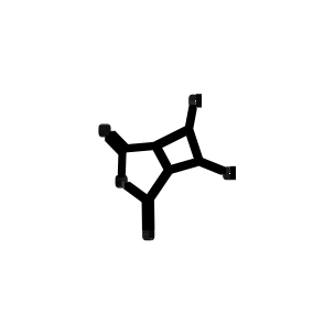 O=C1OC(=O)C2C(Cl)C(Cl)C12